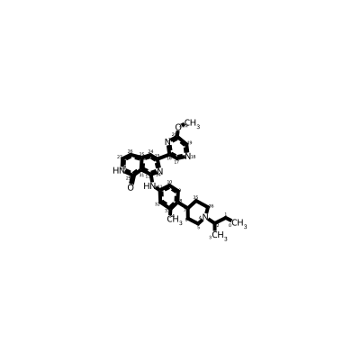 CCC(C)N1CCC(c2ccc(Nc3nc(-c4cncc(OC)n4)cc4cc[nH]c(=O)c34)cc2C)CC1